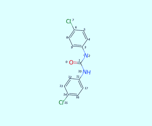 O=C([N]c1ccc(Cl)cc1)Nc1ccc(Cl)cc1